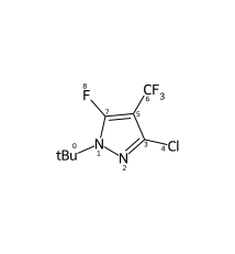 CC(C)(C)n1nc(Cl)c(C(F)(F)F)c1F